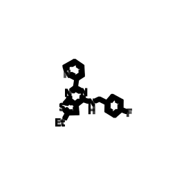 CCc1cc2c(NCc3ccc(F)cc3)nc(-c3ccccn3)nc2s1